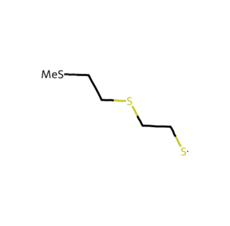 CSCCSCC[S]